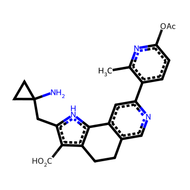 CC(=O)Oc1ccc(-c2cc3c(cn2)CCc2c-3[nH]c(CC3(N)CC3)c2C(=O)O)c(C)n1